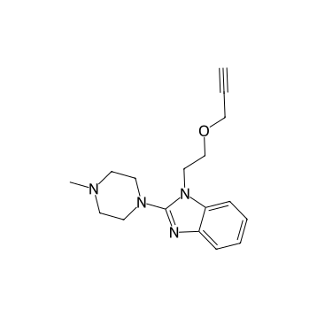 C#CCOCCn1c(N2CCN(C)CC2)nc2ccccc21